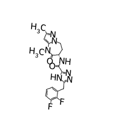 Cc1cc2n(n1)CC[C@H](NC(=O)c1nnc(Cc3cccc(F)c3F)[nH]1)C(=O)N2C